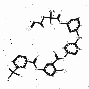 C=CC(=O)NC(C)(C)C(=O)Nc1cccc(Nc2ncc(NC(=O)c3cc(NC(=O)c4cccc(C(F)(F)F)c4)ccc3C)cn2)c1